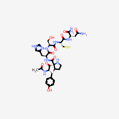 CC(=O)N[C@@H](Cc1ccc(O)cc1)C(=O)[C@]1(C(=O)N[C@@H](Cc2c[nH]cn2)C(=O)N[C@@H](CO)C(=O)N[C@@H](CS)C(=O)N[C@@H](CC(N)=O)C(N)=O)NCCC1I